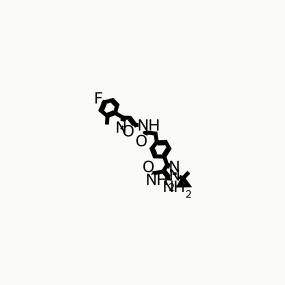 Cc1cc(F)ccc1-c1cc(NC(=O)Cc2ccc(-c3nn(C4(C)CC4)c(N)c3C(N)=O)cc2)on1